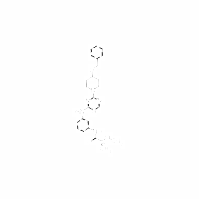 CO[C@@H](C)C(=O)Nc1cccc(Nc2ncnc(N3CCC(OCc4ccccc4)CC3)n2)c1